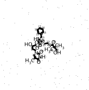 Cc1cn([C@@H]2C[C@H](O)[C@H](OP(=O)(NCc3ccccc3)OCCSC(=O)C(C)(C)CO)O2)c(=O)[nH]c1=O